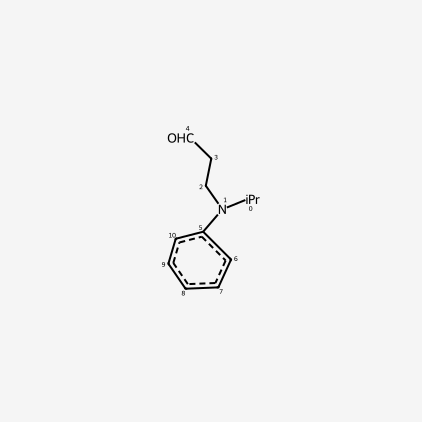 CC(C)N(CCC=O)c1ccccc1